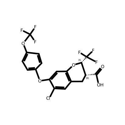 O=C(O)[C@@H]1Cc2cc(Cl)c(Oc3ccc(OC(F)(F)F)cc3)cc2O[C@@H]1C(F)(F)F